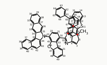 CC1C/C=C(c2ccc3c(c2)sc2ccccc23)/N=C(c2ccc(-n3c4cc5ccccc5cc4c4c5ccccc5ccc43)c3oc4ccccc4c23)\N=C/1c1cccc(-c2ccccc2)c1